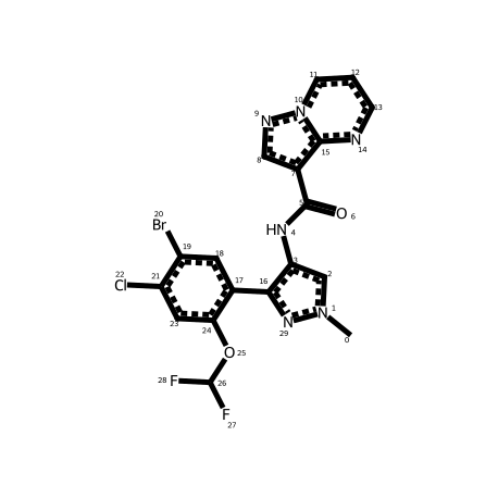 Cn1cc(NC(=O)c2cnn3cccnc23)c(-c2cc(Br)c(Cl)cc2OC(F)F)n1